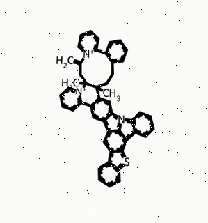 C=C1CC2(C)[n+]3ccccc3-c3cc4c5cc6c7ccccc7sc6c6c7ccccc7n(c4cc3C2(C)CCc2ccccc2-c2cccc[n+]21)c56